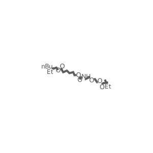 CCCCC(CC)COC(=O)CCCCCOC(=O)NCCOCCOC(=O)C(C)(C)CC